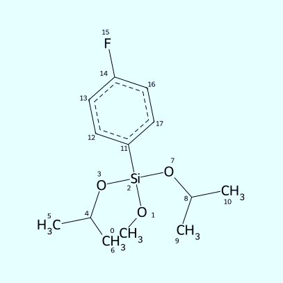 CO[Si](OC(C)C)(OC(C)C)c1ccc(F)cc1